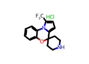 Cl.FC(F)(F)c1ccc2n1-c1ccccc1OC21CCNCC1